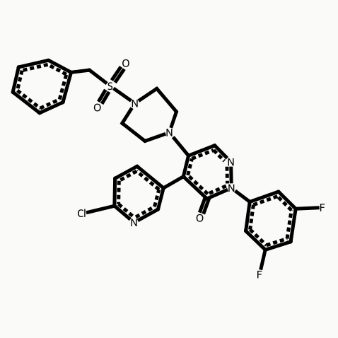 O=c1c(-c2ccc(Cl)nc2)c(N2CCN(S(=O)(=O)Cc3ccccc3)CC2)cnn1-c1cc(F)cc(F)c1